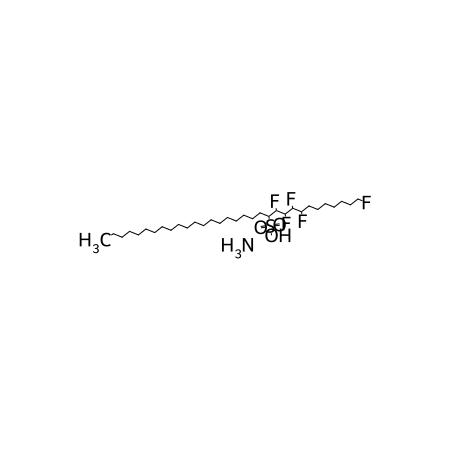 CCCCCCCCCCCCCCCCCCCCC(C(F)C(F)C(F)C(F)CCCCCCCF)S(=O)(=O)O.N